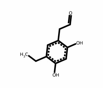 CCc1cc(CC=O)c(O)cc1O